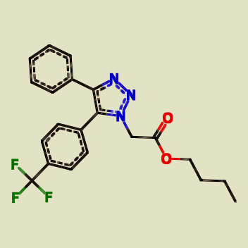 CCCCOC(=O)Cn1nnc(-c2ccccc2)c1-c1ccc(C(F)(F)F)cc1